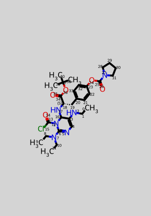 CCNC1=CN=C(N(CC)CC)N(C(=O)Cl)C1N[C@@H](Cc1ccc(OC(=O)N2CCCC2)cc1)C(=O)OC(C)(C)C